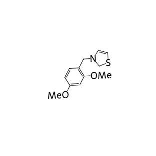 COc1ccc(CN2C=CSC2)c(OC)c1